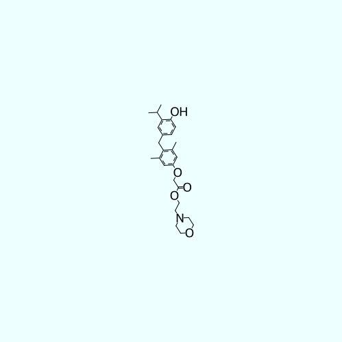 Cc1cc(OCC(=O)OCCN2CCOCC2)cc(C)c1Cc1ccc(O)c(C(C)C)c1